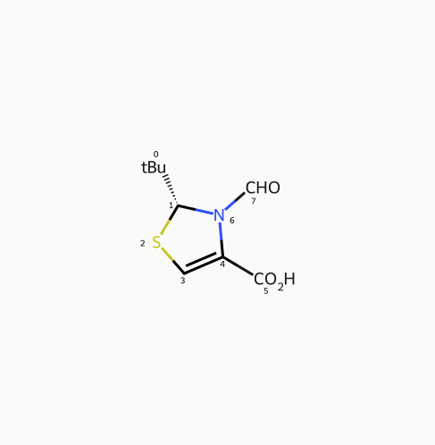 CC(C)(C)[C@H]1SC=C(C(=O)O)N1C=O